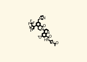 COc1cc(C(=O)NC2CN(C(C)=O)C2)c2nccc(N3CCc4c(cc(Cn5ccnc5)cc4-c4cn(C)nc4C(F)(F)F)C3=O)c2c1